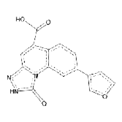 O=C(O)c1cc2n[nH]c(=O)n2c2cc(-c3ccoc3)ccc12